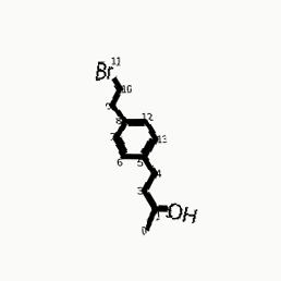 CC(O)CCc1ccc(CCBr)cc1